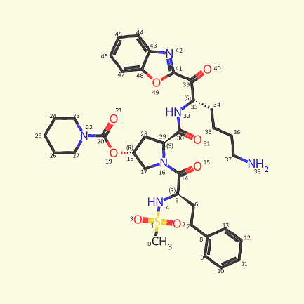 CS(=O)(=O)N[C@H](CCc1ccccc1)C(=O)N1C[C@H](OC(=O)N2CCCCC2)C[C@H]1C(=O)N[C@@H](CCCCN)C(=O)c1nc2ccccc2o1